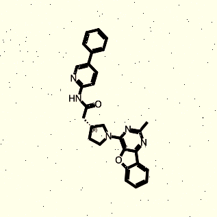 Cc1nc(N2CC[C@H](CC(=O)Nc3ccc(-c4ccccc4)cn3)C2)c2oc3ccccc3c2n1